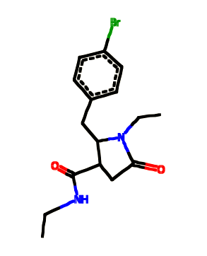 CCNC(=O)C1CC(=O)N(CC)C1Cc1ccc(Br)cc1